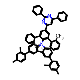 Cc1ccc(-c2ccc3c(c2)c2cc(-c4ccc(C)cc4C)ccc2n3-c2c(-c3ccccc3C(F)(F)F)cc(-c3cc(-c4ccccc4)nc(-c4ccccc4)n3)cc2-c2ccccc2C(F)(F)F)c(C)c1